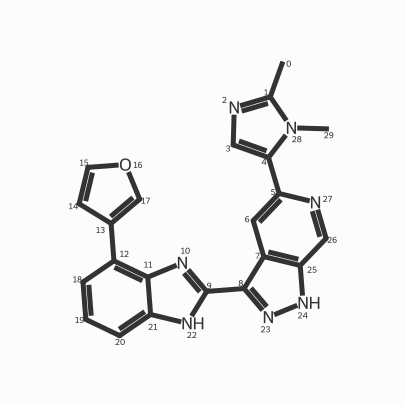 Cc1ncc(-c2cc3c(-c4nc5c(-c6ccoc6)cccc5[nH]4)n[nH]c3cn2)n1C